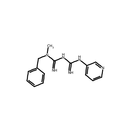 CN(Cc1ccccc1)C(=N)NC(=N)Nc1cccnc1